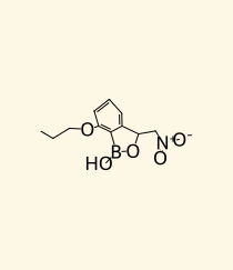 CCCOc1cccc2c1B(O)OC2C[N+](=O)[O-]